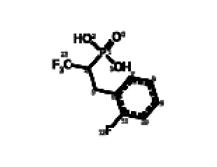 O=P(O)(O)C(Cc1ccccc1F)C(F)(F)F